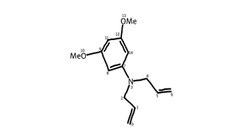 C=CCN(CC=C)c1cc(OC)cc(OC)c1